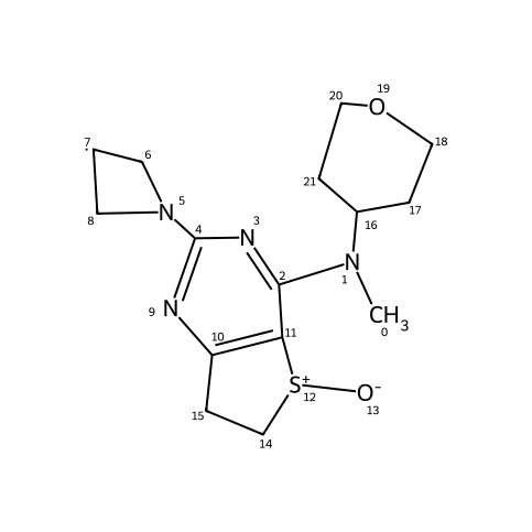 CN(c1nc(N2C[CH]C2)nc2c1[S+]([O-])CC2)C1CCOCC1